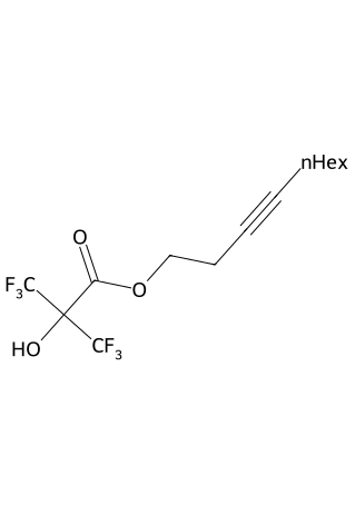 CCCCCCC#CCCOC(=O)C(O)(C(F)(F)F)C(F)(F)F